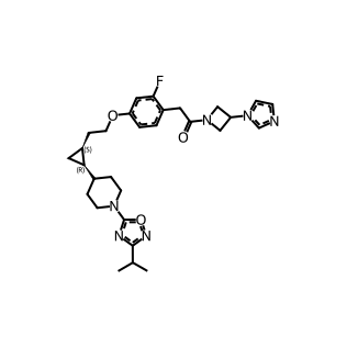 CC(C)c1noc(N2CCC([C@H]3C[C@H]3CCOc3ccc(CC(=O)N4CC(n5ccnc5)C4)c(F)c3)CC2)n1